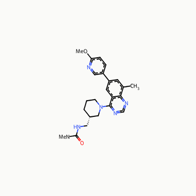 CNC(=O)NC[C@@H]1CCCN(c2ncnc3c(C)cc(-c4ccc(OC)nc4)cc23)C1